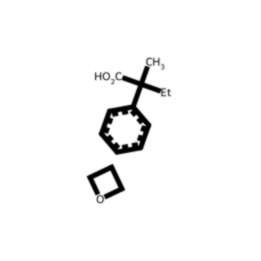 C1COC1.CCC(C)(C(=O)O)c1ccccc1